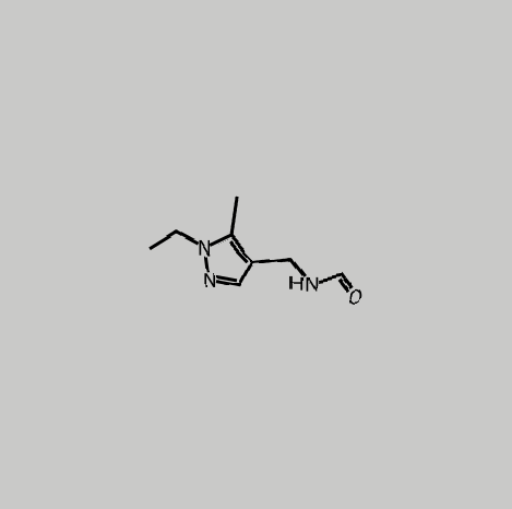 CCn1ncc(CNC=O)c1C